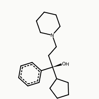 O[C@](CCN1CCCCC1)(c1ccccc1)C1CCCC1